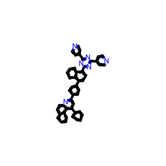 c1ccc(-c2cc(-c3ccc(-c4ccc(-c5nc(-c6ccncc6)nc(-c6ccncc6)n5)c5ccccc45)cc3)nc3ccc4ccccc4c23)cc1